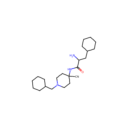 N#CC1(NC(=O)C(N)CC2CCCCC2)CCN(CC2CCCCC2)CC1